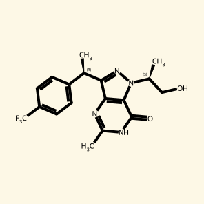 Cc1nc2c([C@H](C)c3ccc(C(F)(F)F)cc3)nn([C@@H](C)CO)c2c(=O)[nH]1